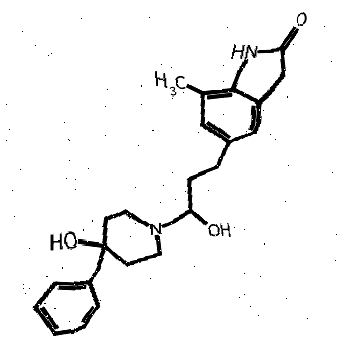 Cc1cc(CCC(O)N2CCC(O)(c3ccccc3)CC2)cc2c1NC(=O)C2